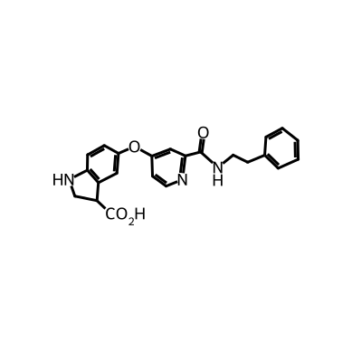 O=C(NCCc1ccccc1)c1cc(Oc2ccc3c(c2)C(C(=O)O)CN3)ccn1